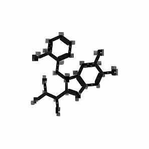 FC(F)C(F)c1nc2cc(Cl)c(Cl)cc2n1Cc1ccccc1Br